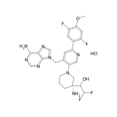 COc1cc(F)c(-c2cc(Cn3cnc4c(N)ncnc43)c(N3CCC[C@](N)(C(O)C(F)F)C3)cn2)cc1F.Cl